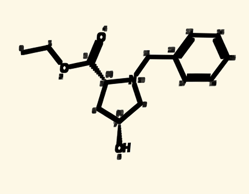 CCOC(=O)[C@H]1C[C@@H](O)CN1Cc1ccccc1